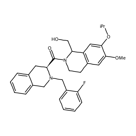 COc1cc2c(cc1OC(C)C)C(CO)N(C(=O)[C@@H]1Cc3ccccc3CN1Cc1ccccc1F)CC2